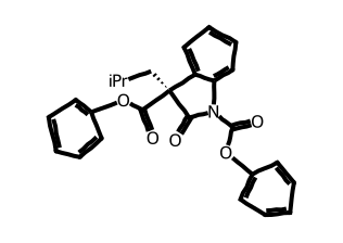 CC(C)C[C@@]1(C(=O)Oc2ccccc2)C(=O)N(C(=O)Oc2ccccc2)c2ccccc21